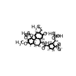 COc1cc2c(c(OC)c1OC)-c1ccc(SC)c(=O)cc1[C@@H](NC(=O)c1ccc([N+](=O)[O-])c(CON(O)O)c1)CC2